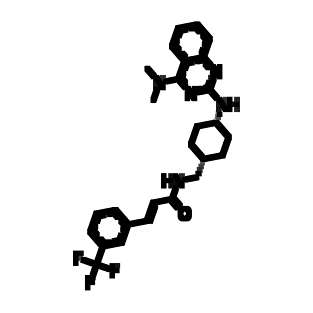 CN(C)c1nc(N[C@H]2CC[C@@H](CNC(=O)/C=C/c3cccc(C(F)(F)F)c3)CC2)nc2ccccc12